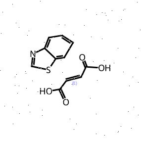 O=C(O)/C=C/C(=O)O.c1ccc2scnc2c1